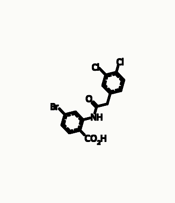 O=C(Cc1ccc(Cl)c(Cl)c1)Nc1cc(Br)ccc1C(=O)O